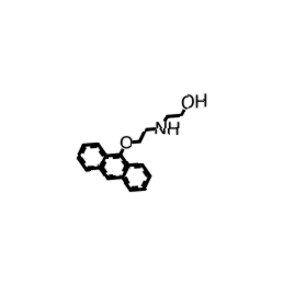 OCCNCCOc1c2ccccc2cc2ccccc12